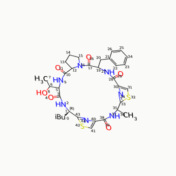 CCC(C)[C@H]1NC(=O)C(C(C)O)NC(=O)C2CCCN2C(=O)C(Cc2ccccc2)NC(=O)c2csc(n2)C(C)NC(=O)c2csc1n2